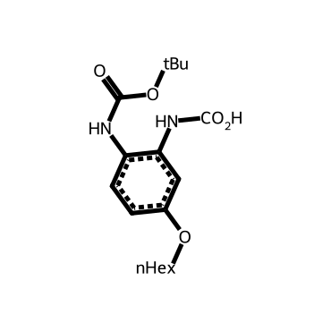 CCCCCCOc1ccc(NC(=O)OC(C)(C)C)c(NC(=O)O)c1